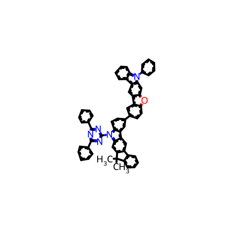 CC1(C)c2ccccc2-c2cc3c4cc(-c5ccc6oc7cc8c(cc7c6c5)c5ccccc5n8-c5ccccc5)ccc4n(-c4nc(-c5ccccc5)nc(-c5ccccc5)n4)c3cc21